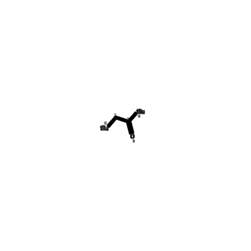 CC(C)(C)CC(=O)C(C)(C)C